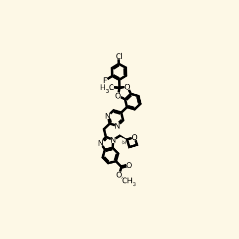 COC(=O)c1ccc2nc(Cc3ncc(-c4cccc5c4OC(C)(c4ccc(Cl)cc4F)O5)cn3)n(C[C@@H]3CCO3)c2c1